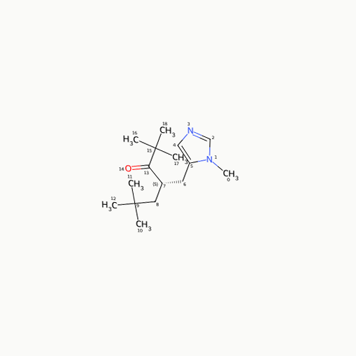 Cn1cncc1C[C@H](CC(C)(C)C)C(=O)C(C)(C)C